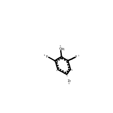 Oc1c(F)cccc1F.[Zr]